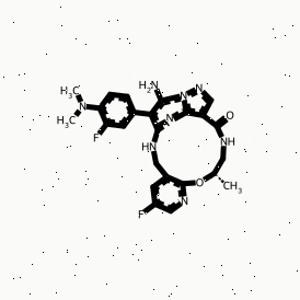 C[C@H]1CNC(=O)c2cnn3c(N)c(-c4ccc(N(C)C)c(F)c4)c(nc23)NCc2cc(F)cnc2O1